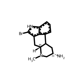 CN1C[C@@H](N)CC2c3cccc4[nH]c(Br)c(c34)C[C@H]21